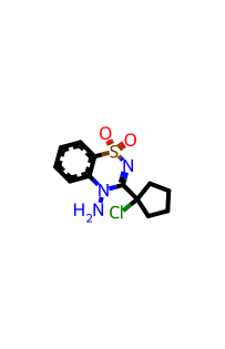 NN1C(C2(Cl)CCCC2)=NS(=O)(=O)c2ccccc21